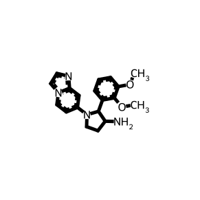 COc1cccc(C2C(N)CCN2c2ccn3ccnc3c2)c1OC